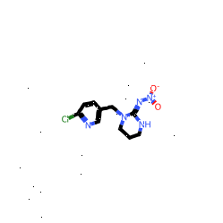 O=[N+]([O-])/N=C1\NCCCN1Cc1ccc(Cl)nc1